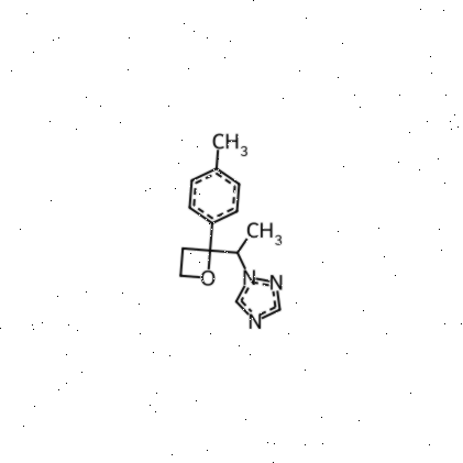 Cc1ccc(C2(C(C)n3cncn3)CCO2)cc1